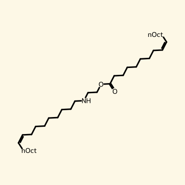 CCCCCCCC/C=C\CCCCCCCCNCCOC(=O)CCCCCCC/C=C\CCCCCCCC